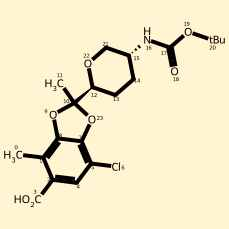 Cc1c(C(=O)O)cc(Cl)c2c1OC(C)([C@@H]1CC[C@@H](NC(=O)OC(C)(C)C)CO1)O2